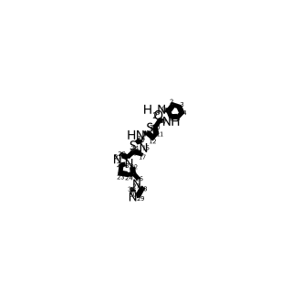 Nc1ccccc1NC(=O)c1ccc(Nc2ncc(-c3cnc4ccc(Cn5ccnc5)cn34)s2)s1